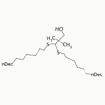 CCCCCCCCCCCCCCCCSC(SCCCCCCCCCCCCCCCC)C(C)(C)CO